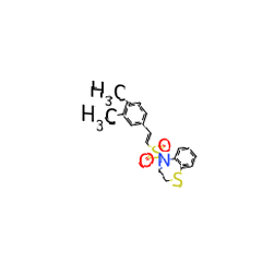 Cc1ccc(/C=C/S(=O)(=O)N2CCSc3ccccc32)cc1C